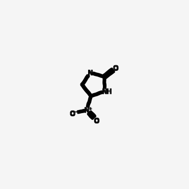 O=C1[N]CC([N+](=O)[O-])N1